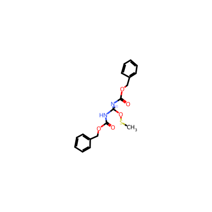 CSO/C(=N\C(=O)OCc1ccccc1)NC(=O)OCc1ccccc1